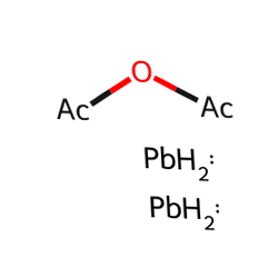 CC(=O)OC(C)=O.[PbH2].[PbH2]